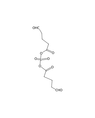 O=CCCCC(=O)OS(=O)(=O)OC(=O)CCCC=O